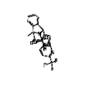 CC12C(=O)c3[nH]ncc3C(c3ccccc31)N2S(=O)(=O)c1ccc(C(F)(F)F)nc1